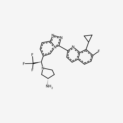 N[C@H]1CCN([C@H](c2ccc3nnc(-c4ccc5ccc(F)c(C6CC6)c5n4)n3c2)C(F)(F)F)C1